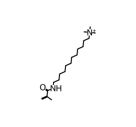 C=C(C)C(=O)NCCCCCCCCCCCC[N+](C)(C)C